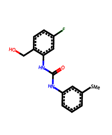 CSc1cccc(NC(=O)Nc2cc(F)ccc2CO)c1